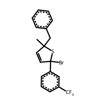 CC1(Cc2ccccc2)C=CC(Br)(c2cccc(C(F)(F)F)c2)S1